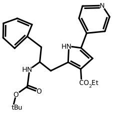 CCOC(=O)c1cc(-c2ccncc2)[nH]c1CC(Cc1ccccc1)NC(=O)OC(C)(C)C